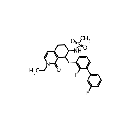 CCn1ccc2c(c1=O)C(Cc1cccc(-c3cccc(F)c3)c1F)C(NS(C)(=O)=O)CC2